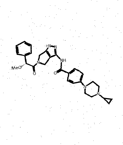 CO[C@@H](C(=O)N1Cc2[nH]nc(NC(=O)c3ccc(N4CCN(C5CC5)CC4)cc3)c2C1)c1ccccc1